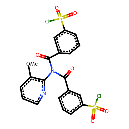 COc1cccnc1N(C(=O)c1cccc(S(=O)(=O)Cl)c1)C(=O)c1cccc(S(=O)(=O)Cl)c1